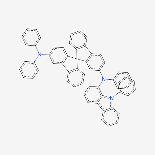 c1ccc(N(c2ccccc2)c2ccc3c(c2)-c2ccccc2C32c3ccccc3-c3ccc(N(c4ccccc4)c4cccc5c6ccccc6n(-c6ccccc6)c45)cc32)cc1